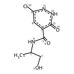 CC(CO)NC(=O)c1cc(Cl)n[nH]c1=O